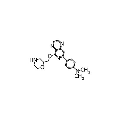 CN(C)c1ccc(-c2cc3nccnc3c(OCC3CNCCO3)n2)cc1